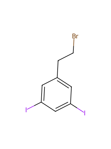 BrCCc1cc(I)cc(I)c1